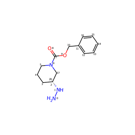 NN[C@@H]1CCCN(C(=O)OCc2ccccc2)C1